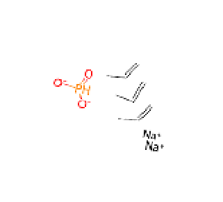 C=CC.C=CC.C=CC.O=[PH]([O-])[O-].[Na+].[Na+]